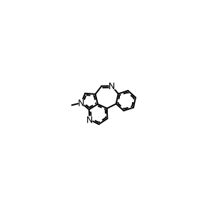 Cn1cc2c3c(ccnc31)-c1ccccc1N=C2